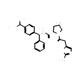 CC(N)c1ccc([C@@H](NC(=O)[C@@H]2C[C@@H](F)CN2C(=O)Cc2cnc(N)s2)c2ccccc2)cc1